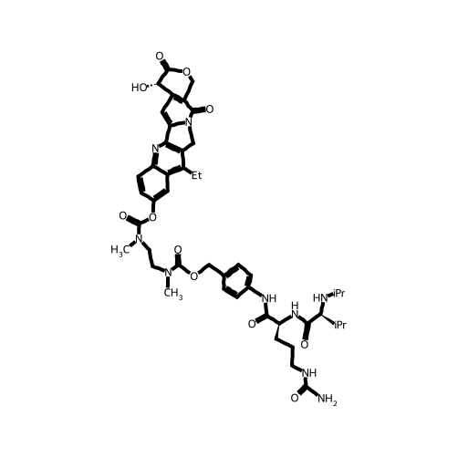 CCc1c2c(nc3ccc(OC(=O)N(C)CCN(C)C(=O)OCc4ccc(NC(=O)[C@H](CCCNC(N)=O)NC(=O)[C@@H](NC(C)C)C(C)C)cc4)cc13)-c1cc3c(c(=O)n1C2)COC(=O)[C@H]3O